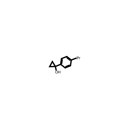 CC(C)c1ccc(C2(O)CC2)cc1